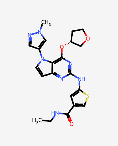 CCNC(=O)c1csc(Nc2nc(O[C@@H]3CCOC3)c3c(ccn3-c3cnn(C)c3)n2)c1